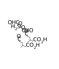 CC(CC=C=O)CC(=O)O.CC(CC=C=O)CC(=O)O.O=CO[SiH2]OC=O